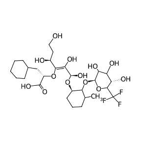 CC1CCC[C@@H](O[C@H](O)/C(O)=C(\O[C@@H](CC2CCCCC2)C(=O)O)[C@@H](O)CCO)C1O[C@@H]1OC(C(F)(F)F)[C@@H](O)C(O)C1O